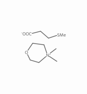 CSCCC(=O)[O-].C[N+]1(C)CCOCC1